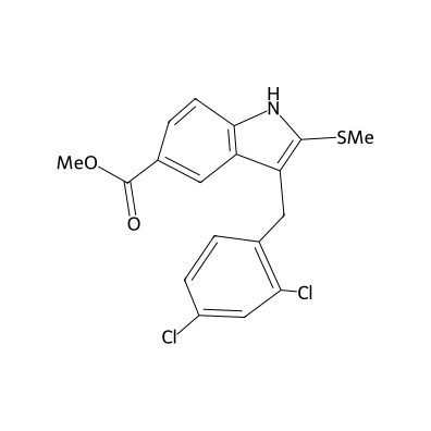 COC(=O)c1ccc2[nH]c(SC)c(Cc3ccc(Cl)cc3Cl)c2c1